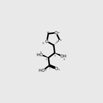 O=C(O)[C@@H](O)[C@H](O)[C@H]1COCO1